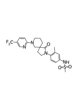 Cc1cc(NS(C)(=O)=O)ccc1N1CCC2(CCCN(c3ccc(C(F)(F)F)cn3)C2)C1=O